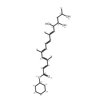 CC(=C/C=C/C(C)=C/C(O)C(O)CC(C)O)C=C(C)/C=C/C(=O)OC1CCCCC1